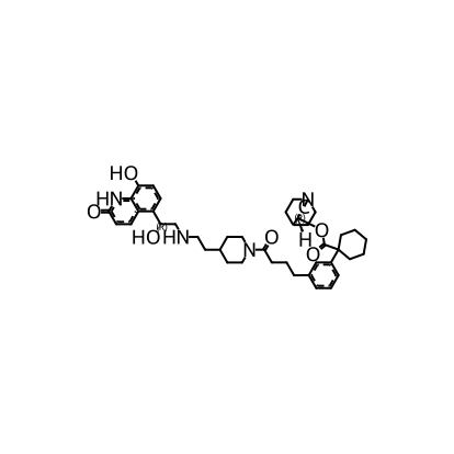 O=C(CCCc1cccc(C2(C(=O)O[C@H]3CN4CCC3CC4)CCCCC2)c1)N1CCC(CCNC[C@H](O)c2ccc(O)c3[nH]c(=O)ccc23)CC1